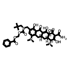 CN(C)c1cc(CN(CC(C)(C)C)C(=O)OCOC(=O)c2ccccc2)c(O)c2c1C[C@H]1C[C@H]3[C@H](N(C)C)C(O)=C(C(N)=O)C(=O)[C@@]3(O)C(O)=C1C2=O